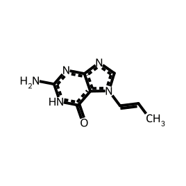 CC=Cn1cnc2nc(N)[nH]c(=O)c21